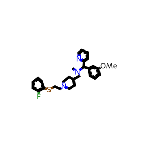 COc1cccc(C(c2ccccn2)N(C)CC2CCN(CCSc3ccccc3F)CC2)c1